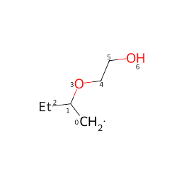 [CH2]C(CC)OCCO